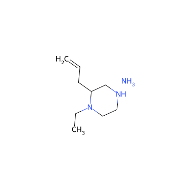 C=CCC1CNCCN1CC.N